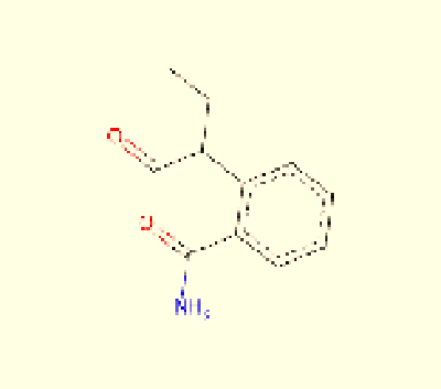 CCC(C=O)c1ccccc1C(N)=O